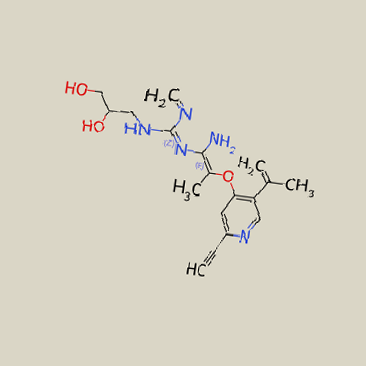 C#Cc1cc(O/C(C)=C(N)/N=C(\N=C)NCC(O)CO)c(C(=C)C)cn1